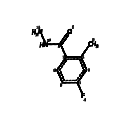 Cc1cc(F)ccc1C(=O)NN